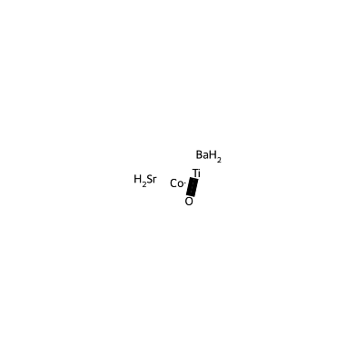 [BaH2].[Co].[O]=[Ti].[SrH2]